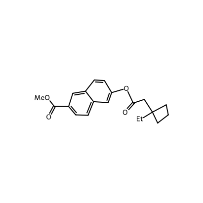 CCC1(CC(=O)Oc2ccc3cc(C(=O)OC)ccc3c2)CCC1